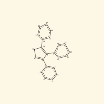 [C]1=C(c2ccccc2)C(c2ccccc2)=C(c2ccccc2)C1